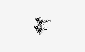 CC(C)(O)CONC(=O)c1cc(Br)c(F)c(F)c1Nc1ccc(I)cc1Cl.CC(O)CONC(=O)c1cc(Br)c(F)c(F)c1Nc1ccc(I)cc1Cl